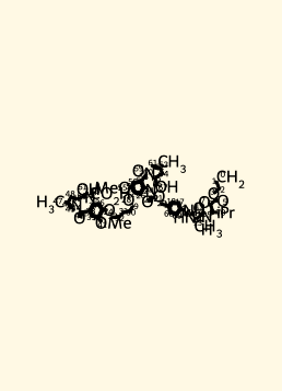 C=CCOC(=O)C(=O)C(NC(=O)C(C)NNc1ccc(COC(=O)N2c3cc(OCCCCCOc4cc5c(cc4OC)C(=O)N4C=C(C)CC4C(O)N5C(=O)O)c(OC)cc3C(=O)N3C=C(C)CC3[C@@H]2O)cc1)C(C)C